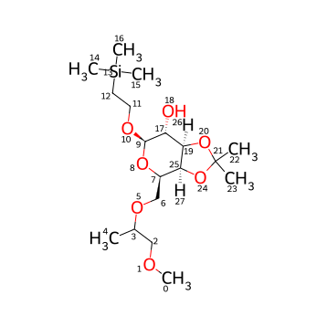 COCC(C)OC[C@H]1O[C@@H](OCC[Si](C)(C)C)[C@H](O)[C@H]2OC(C)(C)O[C@H]21